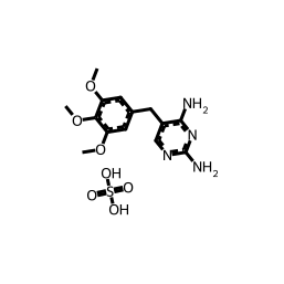 COc1cc(Cc2cnc(N)nc2N)cc(OC)c1OC.O=S(=O)(O)O